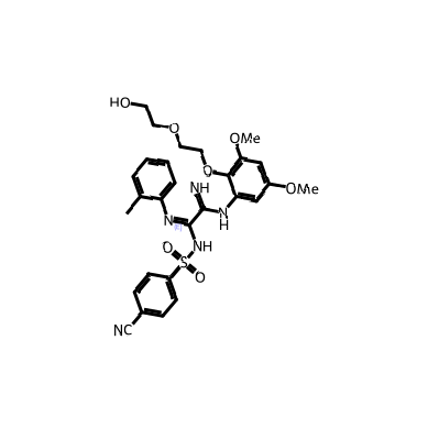 COc1cc(NC(=N)/C(=N\c2ccccc2C)NS(=O)(=O)c2ccc(C#N)cc2)c(OCCOCCO)c(OC)c1